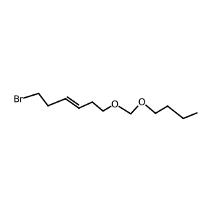 CCCCOCOCC/C=C/CCBr